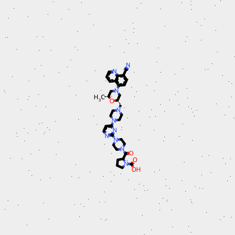 C[C@@H]1CN(c2ccc(C#N)c3ncccc23)C[C@H](CN2CCN(c3ccnc(N4CCN(C(=O)C5CCCN5C(=O)O)CC4)n3)CC2)O1